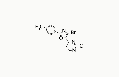 FC(F)(F)c1ccc(-c2nc(Br)c(C3CC=NC(Cl)=N3)o2)cc1